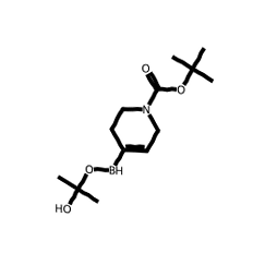 CC(C)(C)OC(=O)N1CC=C(BOC(C)(C)O)CC1